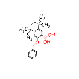 CC1(C)CCC(C)(C)c2cc(B(O)O)c(OCc3ccccc3)cc21